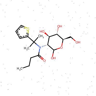 CCCC(=O)N([C@H]1C(O)O[C@H](CO)[C@@H](O)[C@@H]1O)C(C)(C)c1cccs1